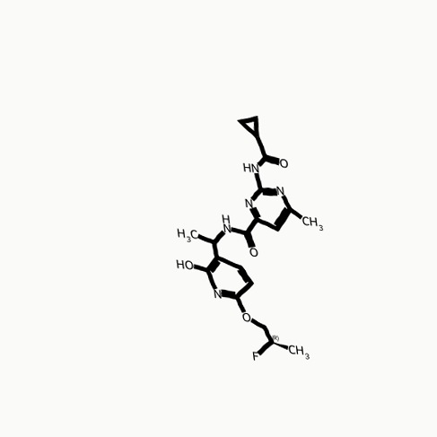 Cc1cc(C(=O)NC(C)c2ccc(OC[C@@H](C)F)nc2O)nc(NC(=O)C2CC2)n1